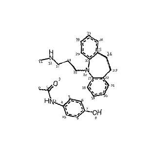 CC(=O)Nc1ccc(O)cc1.CNCCCN1c2ccccc2CCc2ccccc21